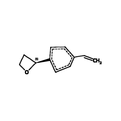 C=Cc1ccc([C@@H]2CCO2)cc1